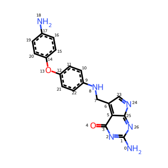 NC1=NC(=O)C2=C(CNc3ccc(Oc4ccc(N)cc4)cc3)C=NC2=N1